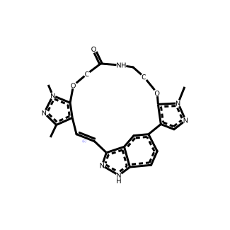 Cc1nn(C)c2c1/C=C/c1n[nH]c3ccc(cc13)-c1cnn(C)c1OCCNC(=O)CO2